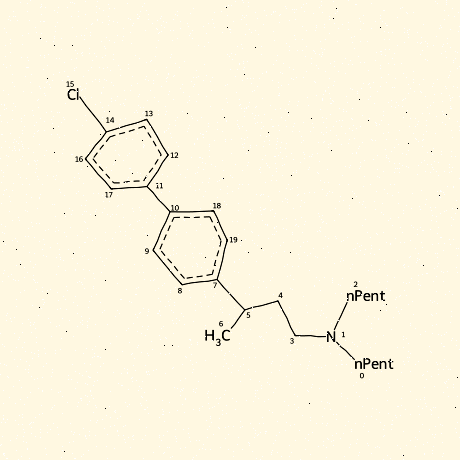 CCCCCN(CCCCC)CCC(C)c1ccc(-c2ccc(Cl)cc2)cc1